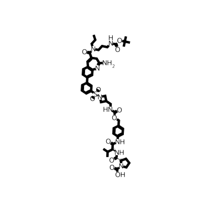 CCCN(CCCNC(=O)OC(C)(C)C)C(=O)C1=Cc2ccc(-c3cccc(S(=O)(=O)N4CC(CNC(=O)OCc5ccc(NC(=O)[C@@H](NC(=O)[C@@H]6CCCN6C(=O)O)C(C)C)cc5)C4)c3)cc2N=C(N)C1